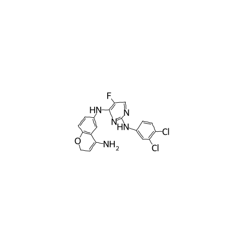 NC1=CCOc2ccc(Nc3nc(Nc4ccc(Cl)c(Cl)c4)ncc3F)cc21